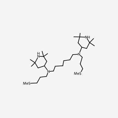 CSCCCN(CCCCCCN(CCCSC)C1CC(C)(C)NC(C)(C)C1)C1CC(C)(C)NC(C)(C)C1